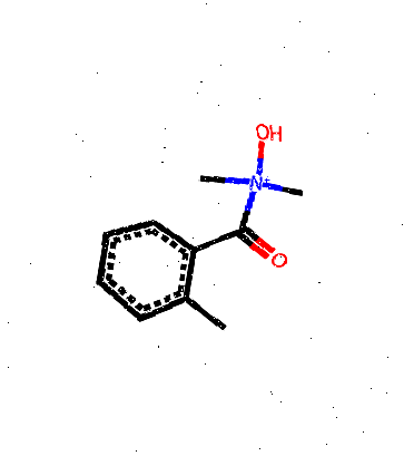 Cc1ccccc1C(=O)[N+](C)(C)O